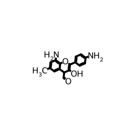 Cc1cc(N)c2c(c1)C(C=O)C(O)=C(c1ccc(N)cc1)O2